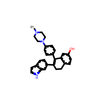 CC(C)N1CCN(c2ccc(C3=C(c4ccc5cc[nH]c5c4)CCc4ccc(O)cc43)cc2)CC1